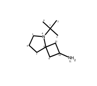 CC(C)(C)N1CCCC12CC(N)C2